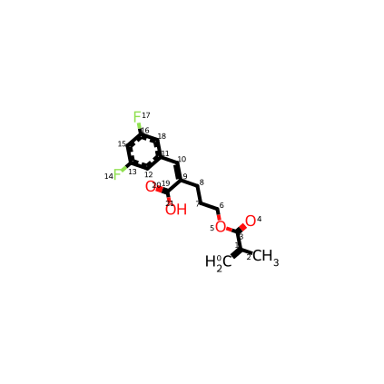 C=C(C)C(=O)OCCCC(=Cc1cc(F)cc(F)c1)C(=O)O